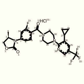 C[C@@H]1COC(=O)N1c1ccc(C(=O)N2CCN(c3ncc(C(F)(F)F)cc3C3CC3)CC2)c(F)c1.Cl